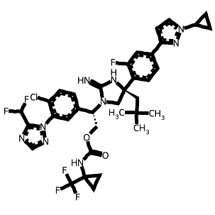 CC(C)(C)C[C@@]1(c2ccc(-c3ccn(C4CC4)n3)cc2F)CN([C@H](COC(=O)NC2(C(F)(F)F)CC2)c2ccc(Cl)c(-n3ncnc3C(F)F)c2)C(=N)N1